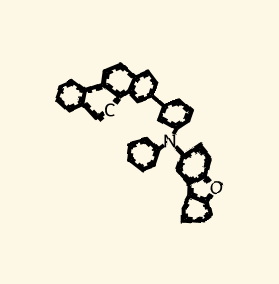 c1ccc(N(c2cccc(-c3ccc4ccc5c6ccccc6ccc5c4c3)c2)c2ccc3oc4ccccc4c3c2)cc1